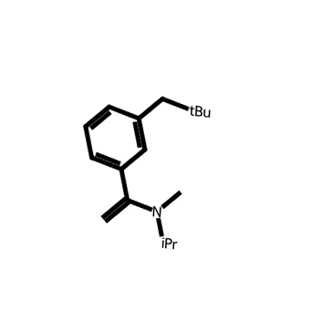 C=C(c1cccc(CC(C)(C)C)c1)N(C)C(C)C